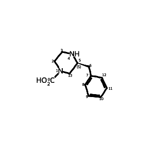 O=C(O)N1CCN[C@@H](Cc2ccccc2)C1